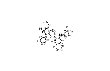 CC(C)C[C@H](N)C(=O)N(C[C@H](O)[C@H](O)[C@H](CC1CCCCC1)NC(=O)OC(C)(C)C)C(=O)c1ccccc1